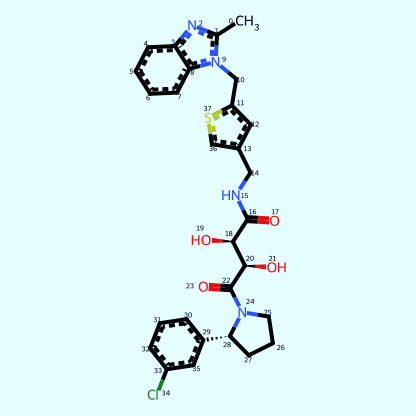 Cc1nc2ccccc2n1Cc1cc(CNC(=O)[C@H](O)[C@@H](O)C(=O)N2CCC[C@@H]2c2cccc(Cl)c2)cs1